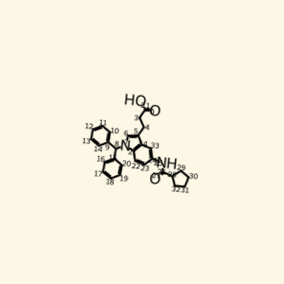 O=C(O)CCc1cn(C(c2ccccc2)c2ccccc2)c2ccc(NC(=O)C3CCCC3)cc12